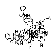 CC(C)(C)[Si](C)(C)O[C@@H]1[C@H](OP(=O)(OCCC#N)OC[C@H]2O[C@@H](n3cnc4c(NC(=O)c5ccccc5)ncnc43)[C@H](OP(=S)(OCCC#N)OCCC#N)[C@@H]2O[Si](C)(C)C(C)(C)C)[C@@H](CI)O[C@H]1n1cnc2c(NC(=O)c3ccccc3)ncnc21